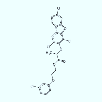 CC(Oc1c(Cl)cc2c(oc3cc(Cl)ccc32)c1Cl)C(=O)OCCOc1cccc(Cl)c1